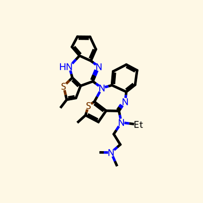 CCN(CCN(C)C)C1=Nc2ccccc2N(C2=Nc3ccccc3Nc3sc(C)cc32)c2sc(C)cc21